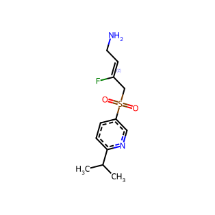 CC(C)c1ccc(S(=O)(=O)C/C(F)=C/CN)cn1